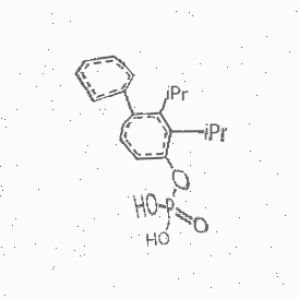 CC(C)c1c(OP(=O)(O)O)ccc(-c2ccccc2)c1C(C)C